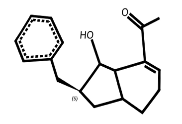 CC(=O)C1=CCCC2C[C@@H](Cc3ccccc3)C(O)C12